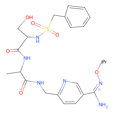 CC(C)O/N=C(/N)c1ccc(CNC(=O)C(C)NC(=O)C(CO)NS(=O)(=O)Cc2ccccc2)nc1